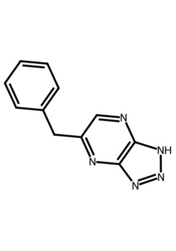 c1ccc(Cc2cnc3[nH]nnc3n2)cc1